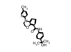 Cc1ccc(N2CCOc3c(C(=O)Nc4ccc(C(C)(C)O)cc4)cccc32)nc1